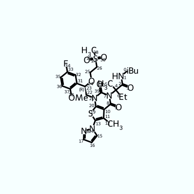 CCC(C)NC(=O)C(C)(CC)n1c(=O)c2c(C)c(-n3cccn3)sc2n(C[C@H](OCCS(C)(=O)=O)c2cc(F)ccc2OC)c1=O